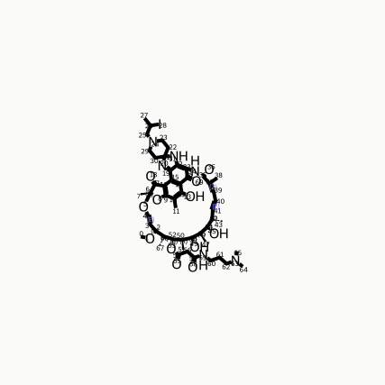 CO[C@H]1/C=C/O[C@@]2(C)Oc3c(C)c(O)c4c(c3C2=O)C2=NC3(CCN(CC(C)I)CC3)NC2=C(NC(=O)/C(C)=C\C=C\[C@H](C)[C@H](O)[C@@H](C)[C@@H](O)[C@@H](C)[C@H](OC(=O)CC(=O)NCCCN(C)C)[C@@H]1C)C4=O